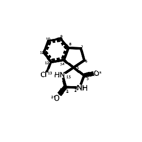 O=C1NC(=O)C2(CCc3cccc(Cl)c32)N1